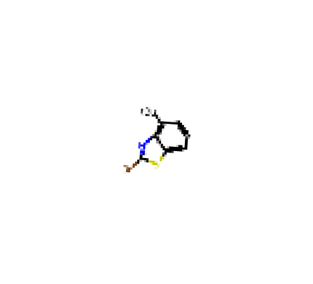 CC(C)(C)c1cccc2sc(Br)nc12